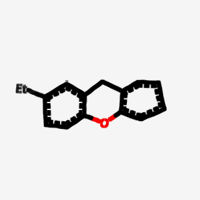 CCc1[c]c2c(cc1)Oc1ccccc1C2